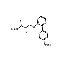 CCCCCc1ccc(-c2ccccc2OCC(F)C(F)CCCCC)cc1